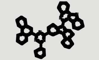 c1ccc(-c2nc(-c3ccc4c(c3)c3c5ccccc5ccc3n4-c3nc4ccccc4c4nc5ccccc5n34)nc(-c3cc4ccccc4c4ccccc34)n2)cc1